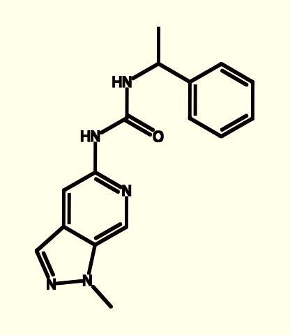 CC(NC(=O)Nc1cc2cnn(C)c2cn1)c1ccccc1